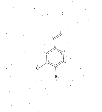 C=Cc1ccc(CC)c(Cl)c1